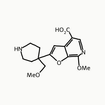 COCC1(c2cc3c(C(=O)O)cnc(OC)c3o2)CCNCC1